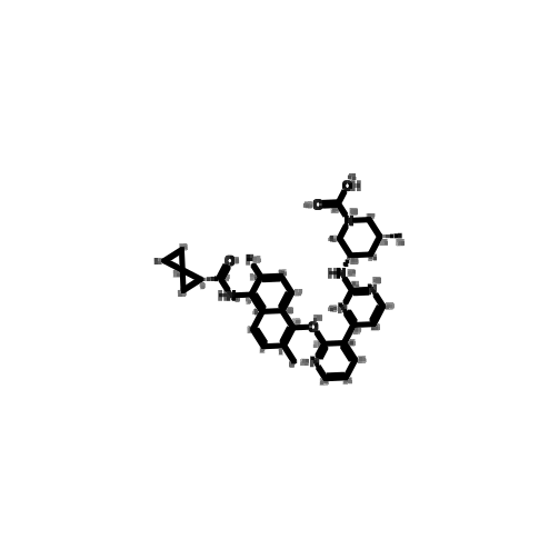 Cc1ccc2c(NC(=O)[C@@H]3CC34CC4)c(F)ccc2c1Oc1ncccc1-c1ccnc(N[C@H]2C[C@@H](C)CN(C(=O)O)C2)n1